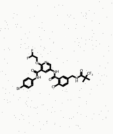 CC(C)(C(=O)NCc1ccc(Cl)c(C(=O)Nc2cnc(OCC(F)F)c(C(=O)Nc3ccc(Br)cc3)c2)c1)C(F)(F)F